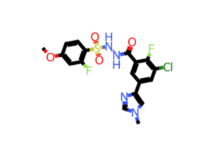 COc1ccc(S(=O)(=O)NNC(=O)c2cc(-c3cn(C)cn3)cc(Cl)c2F)c(F)c1